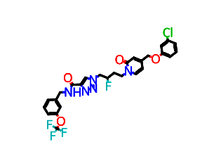 O=C(NCc1cccc(OC(F)(F)F)c1)c1cn(CC(F)CCn2ccc(COc3cccc(Cl)c3)cc2=O)nn1